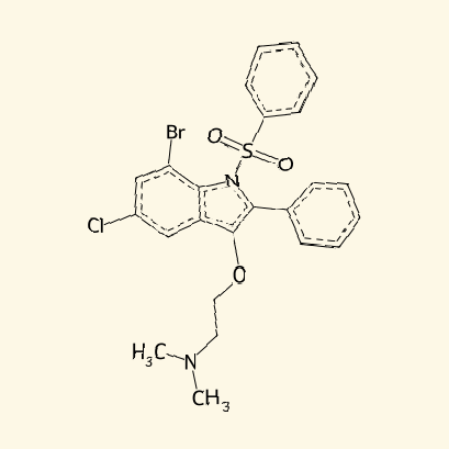 CN(C)CCOc1c(-c2ccccc2)n(S(=O)(=O)c2ccccc2)c2c(Br)cc(Cl)cc12